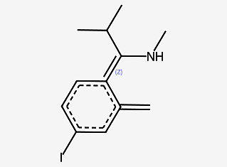 C=c1cc(I)cc/c1=C(/NC)C(C)C